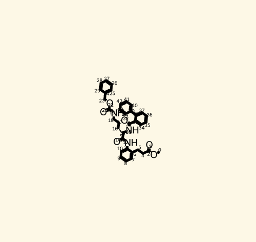 COC(=O)CCc1ccccc1NC(=O)[C@H](CCCNC(=O)OCc1ccccc1)NC(=O)c1ccccc1-c1ccccc1